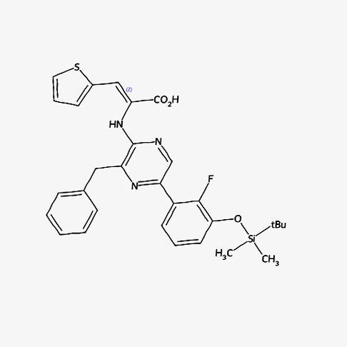 CC(C)(C)[Si](C)(C)Oc1cccc(-c2cnc(N/C(=C\c3cccs3)C(=O)O)c(Cc3ccccc3)n2)c1F